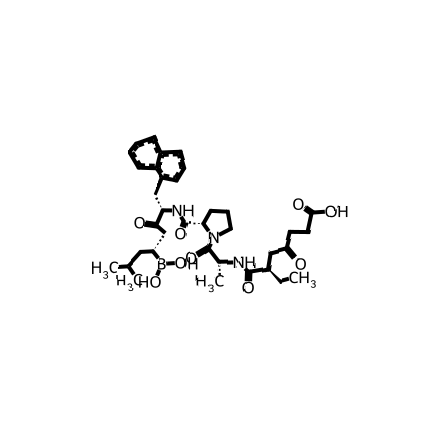 CC[C@H](CC(=O)CCC(=O)O)C(=O)N[C@H](C)C(=O)N1CCC[C@H]1C(=O)N[C@@H](Cc1cccc2ccccc12)C(=O)C[C@@H](CC(C)C)B(O)O